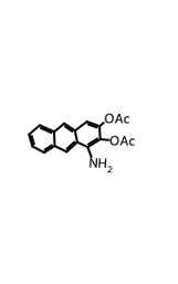 CC(=O)Oc1cc2cc3ccccc3cc2c(N)c1OC(C)=O